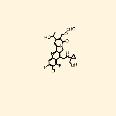 CC(O)c1cc2n(c(=O)c1COC=O)Cc1c-2nc2cc(F)c(Cl)c(F)c2c1CNC1(CO)CC1